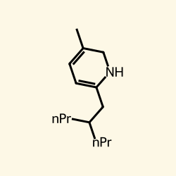 CCCC(CCC)CC1=CC=C(C)CN1